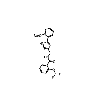 COc1ccccc1-c1cc(CNC(=O)c2ccccc2OC(F)F)n[nH]1